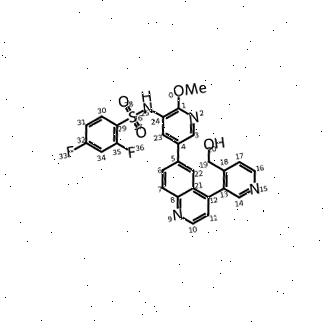 COc1ncc(-c2ccc3nccc(-c4cnccc4CO)c3c2)cc1NS(=O)(=O)c1ccc(F)cc1F